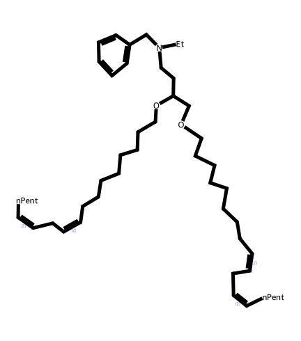 CCCCC/C=C\C/C=C\CCCCCCCCOCC(CCN(CC)Cc1ccccc1)OCCCCCCCC/C=C\C/C=C\CCCCC